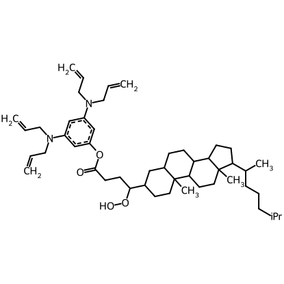 C=CCN(CC=C)c1cc(OC(=O)CCC(OO)C2CCC3(C)C(CCC4C3CCC3(C)C(C(C)CCCC(C)C)CCC43)C2)cc(N(CC=C)CC=C)c1